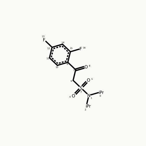 CC(C)N(C(C)C)S(=O)(=O)CC(=O)c1ccc(F)cc1F